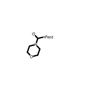 CCCCCC([O])N1CCOCC1